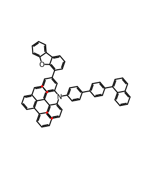 c1ccc(-c2cccc3cccc(-c4ccccc4N(c4ccc(-c5ccc(-c6cccc7ccccc67)cc5)cc4)c4cccc(-c5cccc6c5oc5ccccc56)c4)c23)cc1